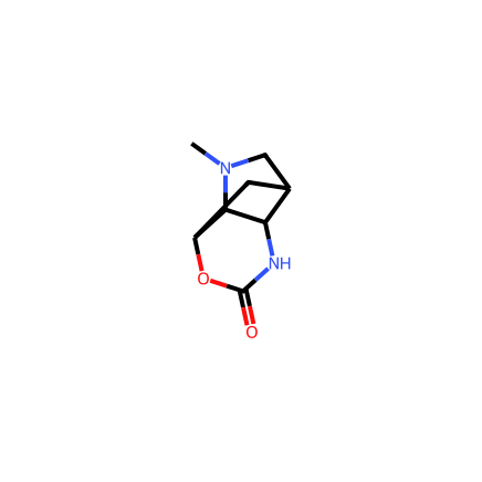 CN1CC2CC3OC(=O)NC2C31